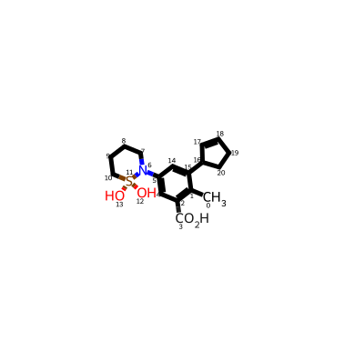 Cc1c(C(=O)O)cc(N2CCCCS2(O)O)cc1C1C=CCC1